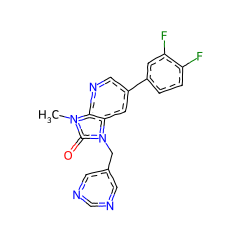 Cn1c(=O)n(Cc2cncnc2)c2cc(-c3ccc(F)c(F)c3)cnc21